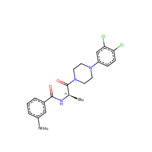 CC(=O)Nc1cccc(C(=O)N[C@@H](C(=O)N2CCN(c3ccc(Cl)c(Cl)c3)CC2)C(C)(C)C)c1